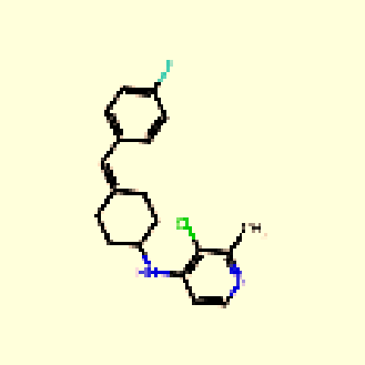 Cc1nccc(NC2CCC(=Cc3ccc(F)cc3)CC2)c1Cl